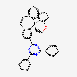 C1=Cc2ccc(-c3nc(-c4ccccc4)nc(-c4ccccc4)n3)cc2C2(c3ccccc31)c1ccccc1Oc1ccccc12